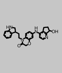 O=C1COc2cc(Nc3ccnc4c3CCC4O)ccc2N1CCC1CNc2ccccc21